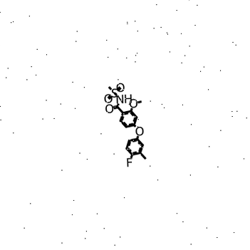 COc1cc(Oc2ccc(F)c(C)c2)ccc1C(=O)NS(C)(=O)=O